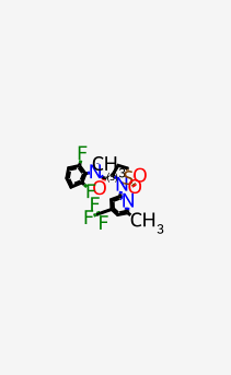 Cc1cc(C(F)(F)F)cc(N2[C@H](C(=O)N(C)c3c(F)cccc3F)CCS2(=O)=O)n1